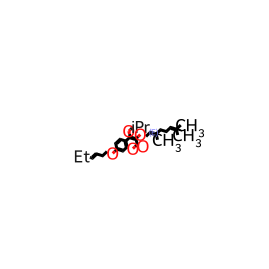 CCC=CCCOc1ccc2c(OC(C)C)c(OC/C=C(\C)CCC=C(C)C)c(=O)oc2c1